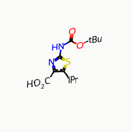 CC(C)c1sc(NC(=O)OC(C)(C)C)nc1C(=O)O